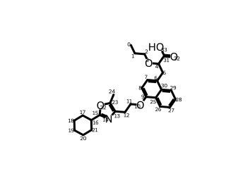 CCCOC(Cc1ccc(OCCc2nc(C3CCCCC3)oc2C)c2ccccc12)C(=O)O